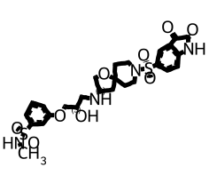 CNS(=O)(=O)c1cccc(OC[C@@H](O)CN[C@H]2COC3(CCN(S(=O)(=O)c4ccc5c(c4)C(=O)C(=O)N5)CC3)C2)c1